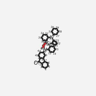 O=C1c2ccccc2-c2cc(N3c4ccccc4[Si]4(c5ccccc5N(c5ccccc5)c5ccccc54)c4ccccc43)ccc21